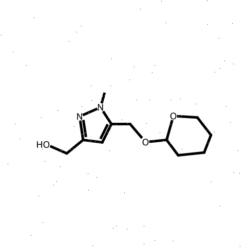 Cn1nc(CO)cc1COC1CCCCO1